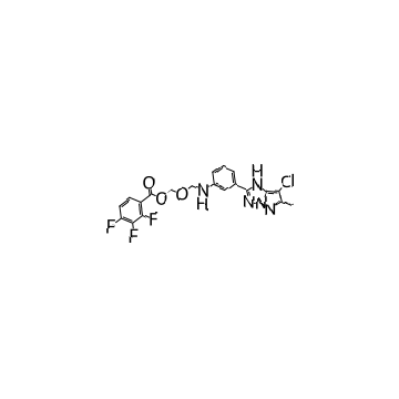 Cc1nn2nc(-c3cccc(NCOCOC(=O)c4ccc(F)c(F)c4F)c3)[nH]c2c1Cl